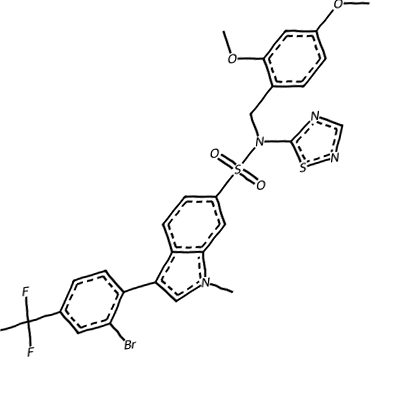 COc1ccc(CN(c2ncns2)S(=O)(=O)c2ccc3c(-c4ccc(C(F)(F)F)cc4Br)cn(C)c3c2)c(OC)c1